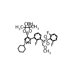 COCN(c1cccc(-c2nn(C3CCCCC3)cc2B2OC(C)(C)C(C)(C)O2)c1F)S(=O)(=O)c1c(F)cccc1F